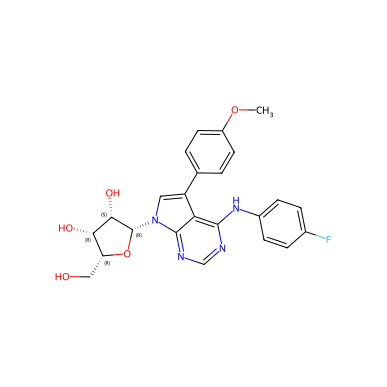 COc1ccc(-c2cn([C@@H]3O[C@H](CO)[C@H](O)[C@@H]3O)c3ncnc(Nc4ccc(F)cc4)c23)cc1